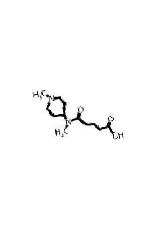 CN1CCC(N(C)C(=O)CCCC(=O)O)CC1